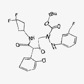 CC(C)(C)OC(=O)N(CC(=O)C(C(=O)NC1CC(F)(F)C1)c1ccccc1Cl)Nc1cccc(F)c1